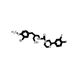 COc1ccc(CC(CO)CNC(=O)N2CCOC(c3ccc(F)c(F)c3)C2)cc1Br